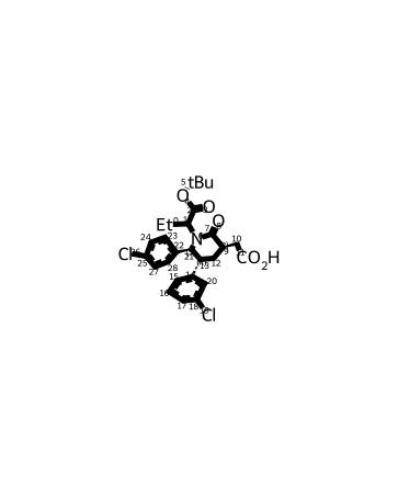 CCC(C(=O)OC(C)(C)C)N1C(=O)[C@@H](CC(=O)O)C[C@H](c2cccc(Cl)c2)[C@H]1c1ccc(Cl)cc1